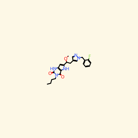 CCCCn1c(=O)[nH]c2cc(C(Cc3cnn(Cc4ccccc4F)c3)OC)[nH]c2c1=O